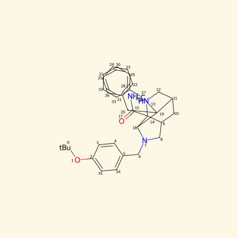 CC(C)(C)Oc1ccc(CN2CC3CC4CNC3(C(N)=O)C2C4(Cc2ccccc2)Cc2ccccc2)cc1